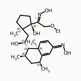 CCOC/C(=N\O)[C@@]1(O)CCC[C@]1(C)C[C@H](O)[C@H]1[C@H](C)C[C@H](C)C2=CC(=NO)C=C[C@@]21C